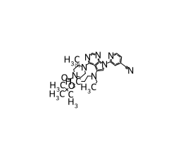 CCCN(CC)c1cn(-c2cc(C#N)ccn2)c2ncnc(N3CCN(C(=O)OC(C)(C)C)C[C@@H]3C)c12